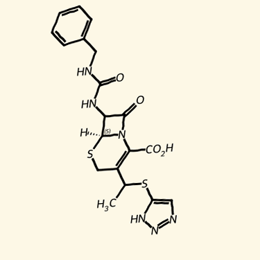 CC(Sc1cnn[nH]1)C1=C(C(=O)O)N2C(=O)C(NC(=O)NCc3ccccc3)[C@@H]2SC1